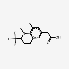 Cc1cc(CC(=O)O)cc2c1N(C)C(C(F)(F)F)CC2